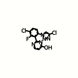 Oc1ccnc(-c2c(-n3cc(Cl)nn3)ccc(Cl)c2F)n1